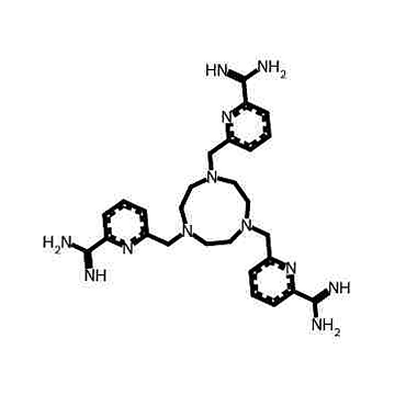 N=C(N)c1cccc(CN2CCN(Cc3cccc(C(=N)N)n3)CCN(Cc3cccc(C(=N)N)n3)CC2)n1